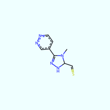 CN1C(c2ccnnc2)=NNC1C=S